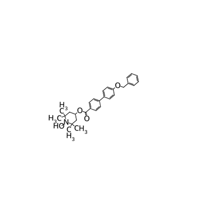 CC1(C)CC(OC(=O)c2ccc(-c3ccc(OCc4ccccc4)cc3)cc2)CC(C)(C)N1O